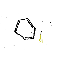 CS.c1ccccc1